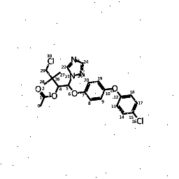 CC(=O)OC(C(Oc1ccc(Oc2ccc(Cl)cc2)cc1)n1cncn1)C(C)(C)CCl